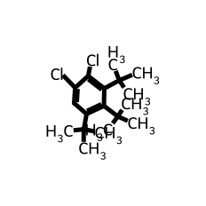 CC(C)(C)c1cc(Cl)c(Cl)c(C(C)(C)C)c1C(C)(C)C